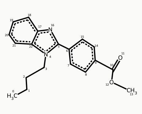 CCCCn1c(-c2ccc(C(=O)OC)cc2)nc2ccccc21